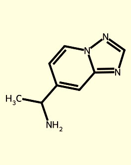 CC(N)c1ccn2ncnc2c1